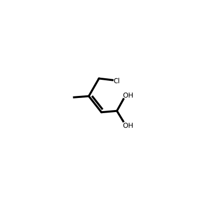 CC(=CC(O)O)CCl